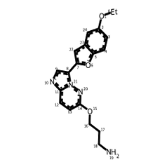 CCOc1ccc2oc(-c3cnc4ccc(OCCCN)nn34)cc2c1